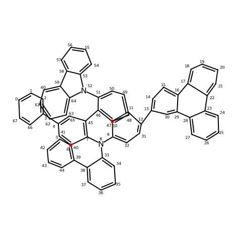 c1ccc(-c2ccc(N(c3ccc(-c4ccc5c6ccccc6c6ccccc6c5c4)cc3)c3ccccc3-c3ccccc3)c(-c3ccccc3-n3c4ccccc4c4ccccc43)c2)cc1